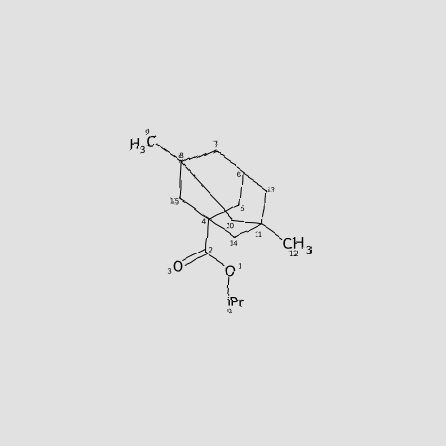 CC(C)OC(=O)C12CC3CC(C)(CC(C)(C3)C1)C2